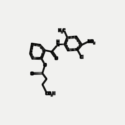 Cc1cc([N+](=O)[O-])c(Cl)cc1NC(=O)c1ccccc1OC(=O)CCC(=O)O